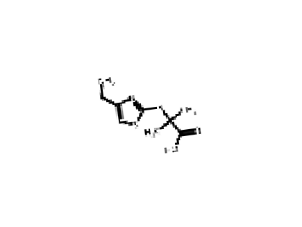 CC(C)(Sc1nc(CN)cs1)C(=O)O